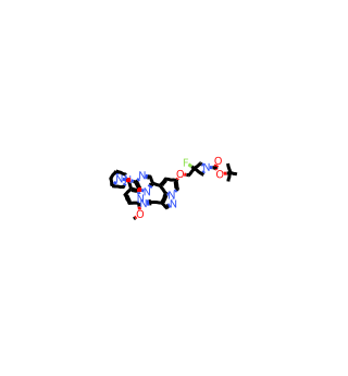 COc1ccc(CN2C3CC2CN(c2cnc(-c4cc(OCC5(F)CN(C(=O)OC(C)(C)C)C5)cn5ncc(C#N)c45)cn2)C3)cn1